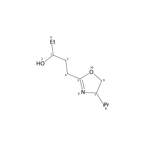 CCC(O)CCC1=NC(C(C)C)CO1